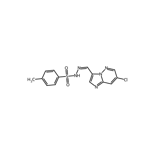 Cc1ccc(S(=O)(=O)N/N=C\c2cnc3cc(Cl)cnn23)cc1